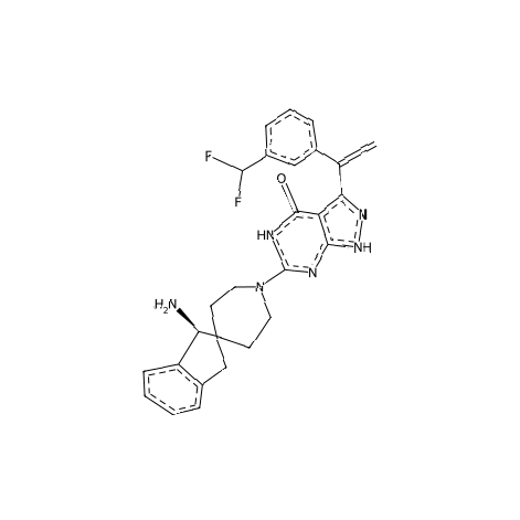 C=C(c1cccc(C(F)F)c1)c1n[nH]c2nc(N3CCC4(CC3)Cc3ccccc3[C@H]4N)[nH]c(=O)c12